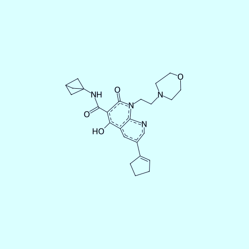 O=C(NC12CC(C1)C2)c1c(O)c2cc(C3=CCCC3)cnc2n(CCN2CCOCC2)c1=O